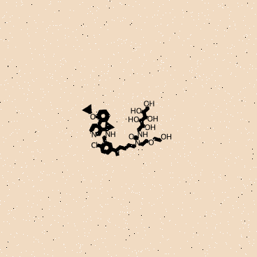 CC(CCCCN(CCOCCO)C(=O)NCC(O)C(O)C(O)C(O)CO)c1ccc(Cl)c(CNC2(c3cnccc3-c3ccccc3OC3CC3)CC2)c1